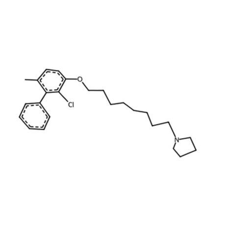 Cc1ccc(OCCCCCCCCN2CCCC2)c(Cl)c1-c1ccccc1